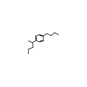 CCCCc1ccc(C(C)CCC)cc1